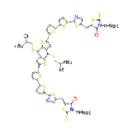 CCCCCCCN1C(=O)/C(=C/c2cnc(-c3ccc(-c4ccc(-c5cc6c(SCC(CC)CCCC)c7sc(-c8ccc(-c9ccc(-c%10ncc(/C=C%11\SC(=S)N(CCCCCCC)C%11=O)s%10)s9)s8)cc7c(SCC(CC)CCCC)c6s5)s4)s3)s2)SC1=S